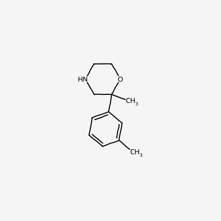 Cc1cccc(C2(C)CNCCO2)c1